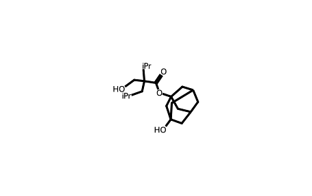 CC(C)CC(CO)(C(=O)OC12CC3CC(CC(O)(C3)C1)C2)C(C)C